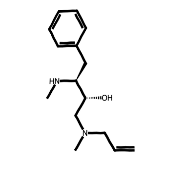 C=CCN(C)C[C@@H](O)[C@H](Cc1ccccc1)NC